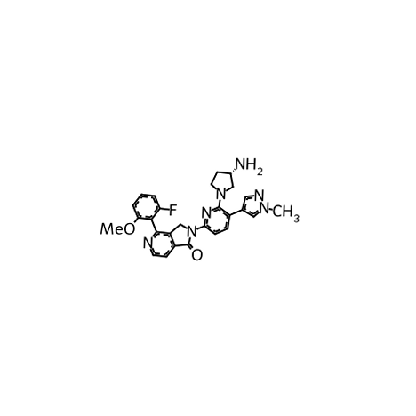 COc1cccc(F)c1-c1nccc2c1CN(c1ccc(-c3cnn(C)c3)c(N3CC[C@H](N)C3)n1)C2=O